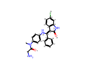 CN(C(=O)CN)c1ccc(NC(=C2C(=O)Nc3cc(F)ccc32)c2ccccc2)cc1